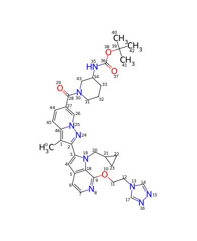 Cc1c(-c2cc3ccnc(OCCn4cnnc4)c3n2CC2CC2)nn2cc(C(=O)N3CCCC(NC(=O)OC(C)(C)C)C3)ccc12